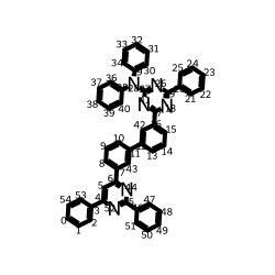 c1ccc(-c2cc(-c3cccc(-c4cccc(-c5nc(-c6ccccc6)nc(N(c6ccccc6)c6ccccc6)n5)c4)c3)nc(-c3ccccc3)n2)cc1